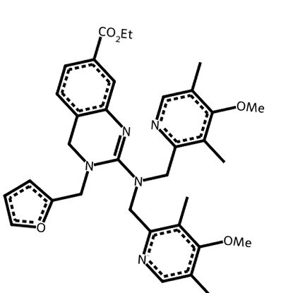 CCOC(=O)c1ccc2c(c1)N=C(N(Cc1ncc(C)c(OC)c1C)Cc1ncc(C)c(OC)c1C)N(Cc1ccco1)C2